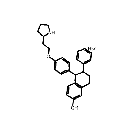 Br.Oc1ccc2c(c1)CCC(c1ccccc1)C2c1ccc(OCCC2CCCN2)cc1